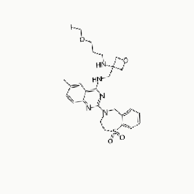 Cc1ccc2nc(N3CCS(=O)(=O)c4ccccc4C3)nc(NCC3(NCCCOCI)COC3)c2c1